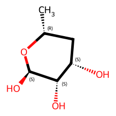 C[C@@H]1C[C@H](O)[C@H](O)[C@@H](O)O1